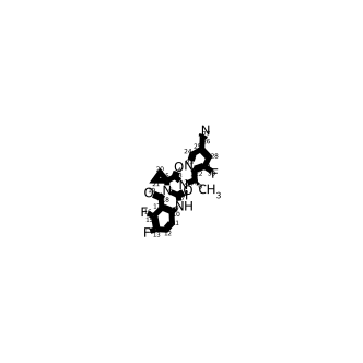 C[C@@H](NC(=O)C1(n2c(=O)[nH]c3ccc(F)c(F)c3c2=O)CC1)c1ncc(C#N)cc1F